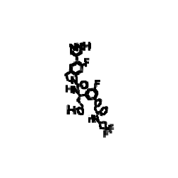 O=C(COc1cc(F)cc([C@@H](CCO)NC(=O)N2CCc3cc(-c4cn[nH]c4)c(F)cc32)c1)NC1CC(F)(F)C1